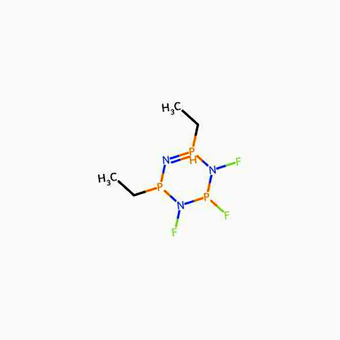 CCP1N=[PH](CC)N(F)P(F)N1F